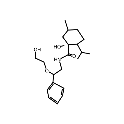 CC1CCC(C(C)C)[C@@](O)(C(=O)NCC(OCCO)c2ccccc2)C1